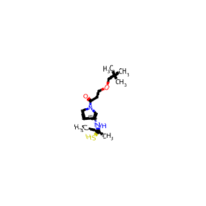 CC(C)(C)COCCC(=O)N1CC[C@@H](NC(C)(C)S)C1